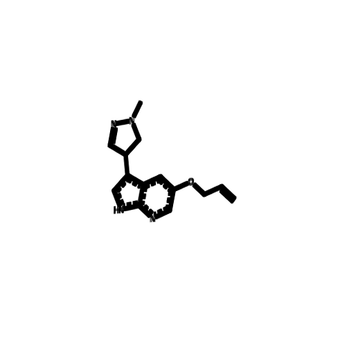 C=CCOc1cnc2[nH]cc(C3C=NN(C)C3)c2c1